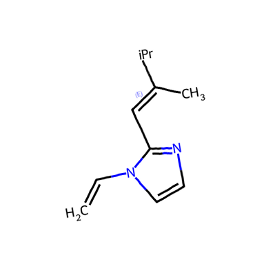 C=Cn1ccnc1/C=C(\C)C(C)C